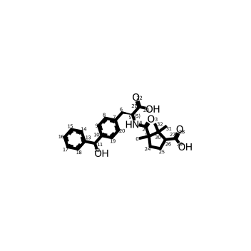 CC1(C(=O)N[C@@H](Cc2ccc(C(O)c3ccccc3)cc2)C(=O)O)CCC(C(=O)O)C1(C)C